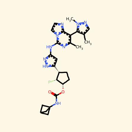 Cc1cnn(C)c1-c1c(C)nc(Nc2cc([C@@H]3CC[C@H](OC(=O)NC45CC(C4)C5)[C@@H]3F)[nH]n2)n2ccnc12